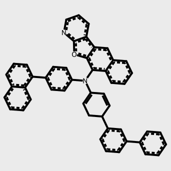 C1=CC(c2cccc(-c3ccccc3)c2)CC=C1N(c1ccc(-c2cccc3ccccc23)cc1)c1c2ccccc2cc2c1oc1ncccc12